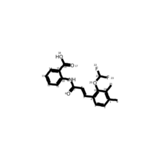 Cc1ccc(/C=C/C(=O)Nc2ccccc2C(=O)O)c(OC(F)F)c1C